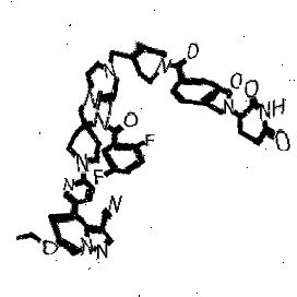 CCOc1cc(-c2ccc(N3CCC(CN4CCN(CC5CCN(C(=O)c6ccc7c(c6)C(=O)N(C6CCC(=O)NC6=O)C7)CC5)CC4)(NC(=O)c4cc(F)ccc4F)CC3)nc2)c2c(C#N)cnn2c1